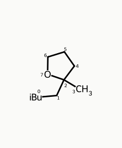 CCC(C)CC1(C)CCCO1